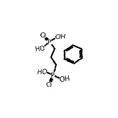 O=P(O)(O)CCCP(=O)(O)O.c1ccccc1